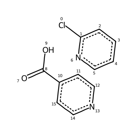 Clc1ccccn1.O=C(O)c1ccncc1